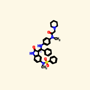 CN(C(=O)CN1CCCCC1)c1ccc(N/C(=C2\C(=O)Nc3ccc(N(C)S(=O)(=O)c4ccccc4)cc32)c2ccccc2)cc1